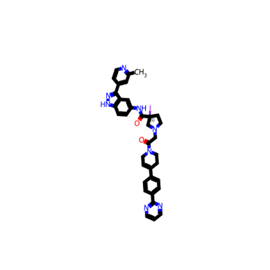 Cc1cc(-c2n[nH]c3ccc(NC(=O)[C@]4(I)CCN(CC(=O)N5CC=C(c6ccc(-c7ncccn7)cc6)CC5)C4)cc23)ccn1